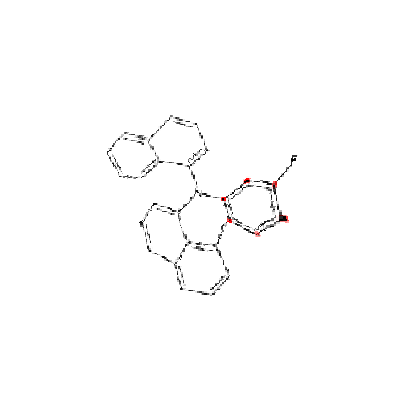 Fc1cccc(N(c2cccc3ccccc23)c2cccc3cccc(-c4ccccc4)c23)c1